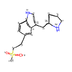 CCS(=O)(=O)CCc1ccc2[nH]cc(CC3CCCN3)c2c1